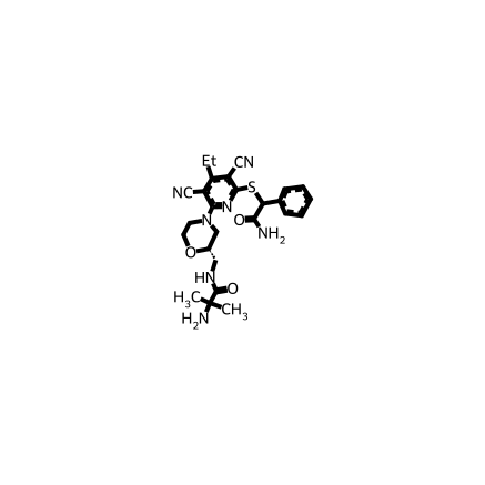 CCc1c(C#N)c(SC(C(N)=O)c2ccccc2)nc(N2CCO[C@@H](CNC(=O)C(C)(C)N)C2)c1C#N